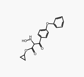 O=C(OC1CC1)C(NO)C(=O)c1ccc(Oc2ccccc2)cc1